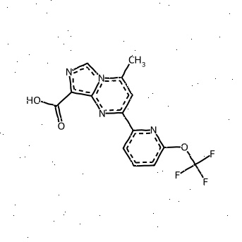 Cc1cc(-c2cccc(OC(F)(F)F)n2)nc2c(C(=O)O)ncn12